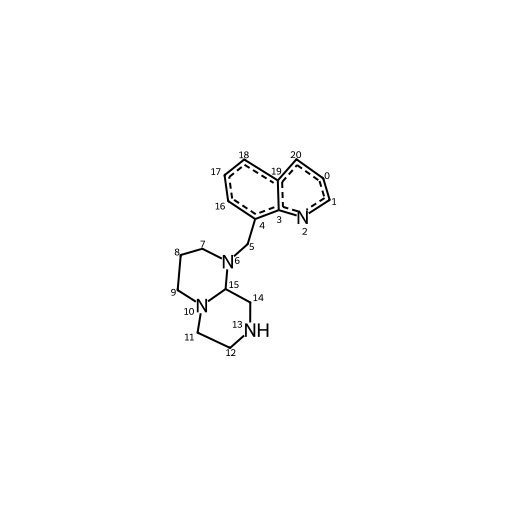 c1cnc2c(CN3CCCN4CCNCC43)cccc2c1